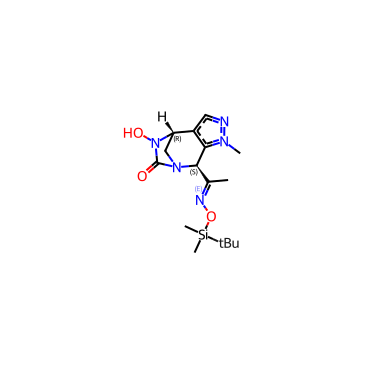 C/C(=N\O[Si](C)(C)C(C)(C)C)[C@@H]1c2c(cnn2C)[C@@H]2CN1C(=O)N2O